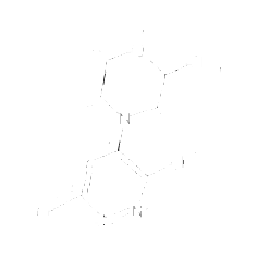 CC1CN(c2cc(Cl)nnc2Cl)CCO1